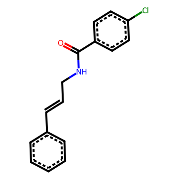 O=C(NCC=Cc1ccccc1)c1ccc(Cl)cc1